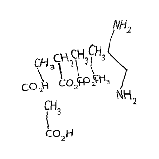 CC.CC(=O)O.CC(=O)O.CC(=O)O.CC(=O)O.NCCN